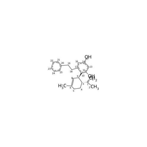 C=C(C)[C@@H]1CCC(C)=C[C@H]1c1c(O)cc(O)cc1CCc1ccccc1